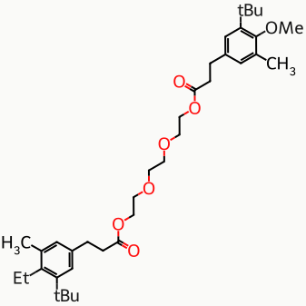 CCc1c(C)cc(CCC(=O)OCCOCCOCCOC(=O)CCc2cc(C)c(OC)c(C(C)(C)C)c2)cc1C(C)(C)C